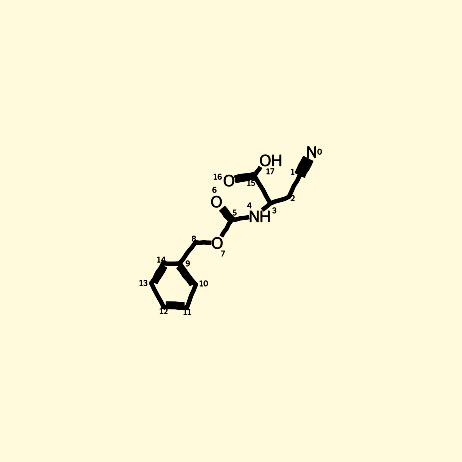 N#CCC(NC(=O)OCc1ccccc1)C(=O)O